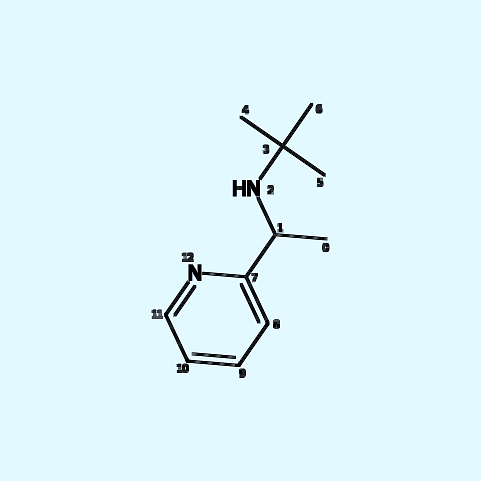 CC(NC(C)(C)C)c1ccccn1